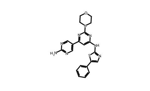 Nc1ncc(-c2cc(Nc3ncc(-c4ccccc4)s3)nc(N3CCOCC3)n2)cn1